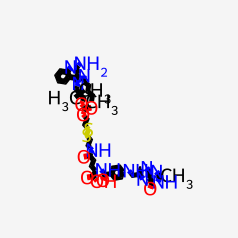 CCCCc1nc2c(N)nc3ccccc3c2n1CC(C)(C)COC(=O)OCCSSCCNC(=O)CCC(NC(=O)c1ccc(NCc2cnc3nc(C)[nH]c(=O)c3n2)cc1)C(=O)O